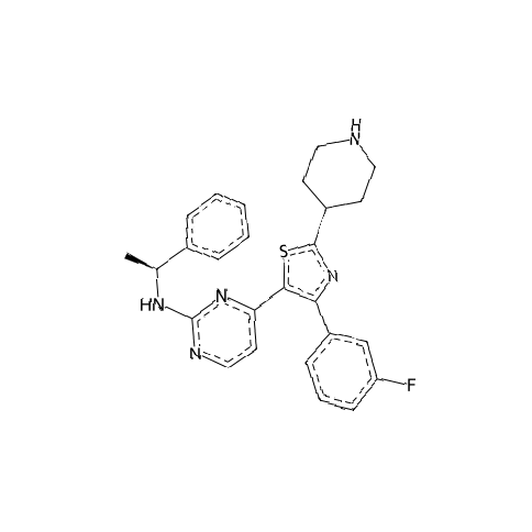 C[C@H](Nc1nccc(-c2sc(C3CCNCC3)nc2-c2cccc(F)c2)n1)c1ccccc1